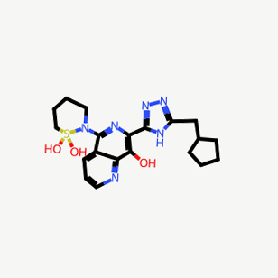 Oc1c(-c2nnc(CC3CCCC3)[nH]2)nc(N2CCCCS2(O)O)c2cccnc12